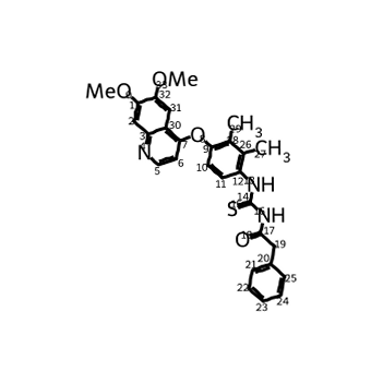 COc1cc2nccc(Oc3ccc(NC(=S)NC(=O)Cc4ccccc4)c(C)c3C)c2cc1OC